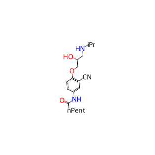 CCCCCC(=O)Nc1ccc(OCC(O)CNC(C)C)c(C#N)c1